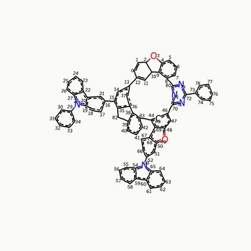 C1=CC2Oc3cccc4c3C2C=C1c1cc(-c2ccc3c(c2)c2ccccc2n3-c2ccccc2)c2c(c1)-c1c(cccc1-c1cc(cc3oc5cc(-n6c7ccccc7c7ccccc76)ccc5c13)-c1nc(-c3ccccc3)nc-4n1)C2